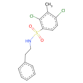 Cc1c(Cl)ccc(S(=O)(=O)NCCc2ccccc2)c1Cl